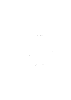 CC(O)(NS(=O)(=O)O)C(=O)O